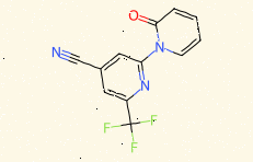 N#Cc1cc(-n2ccccc2=O)nc(C(F)(F)F)c1